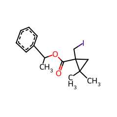 CC(OC(=O)C1(CI)CC1(C)C)c1ccccc1